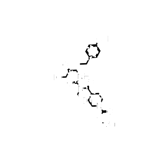 CC[C@H](C)CN(C(=O)N[C@@H](CCc1ccc(O)cc1)C(=O)CO)C(=O)C1CCN(C(=O)OC(C)(C)C)CC1